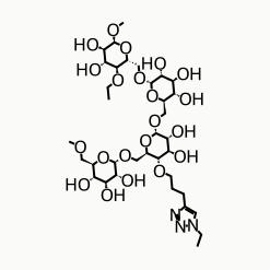 CCO[C@H]1[C@H](O)[C@@H](O)[C@@H](OC)O[C@@H]1CO[C@H]1O[C@H](CO[C@H]2O[C@H](CO[C@H]3O[C@H](COC)[C@@H](O)[C@H](O)[C@H]3O)[C@@H](OCCCc3cn(CC)nn3)[C@H](O)[C@H]2O)[C@@H](O)[C@H](O)[C@H]1O